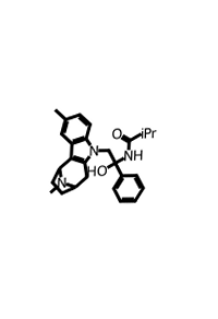 Cc1ccc2c(c1)c1c(n2CC(O)(NC(=O)C(C)C)c2ccccc2)CC2CCC1N2C